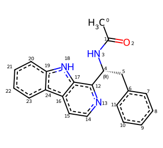 CC(=O)N[C@H](Cc1ccccc1)c1nccc2c1[nH]c1ccccc12